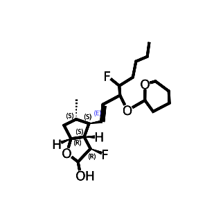 CCCCC(F)C(/C=C/[C@H]1[C@H]2[C@@H](C[C@@H]1C)OC(O)[C@@H]2F)OC1CCCCO1